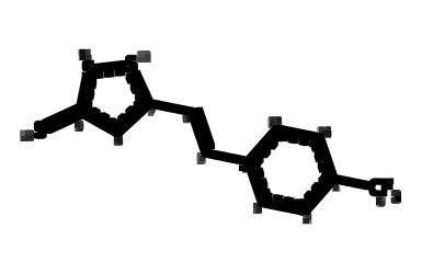 FC(F)(F)c1ccc(C=Cc2cc(=S)ss2)cc1